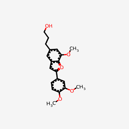 COc1ccc(-c2cc3cc(CCCO)cc(OC)c3o2)cc1OC